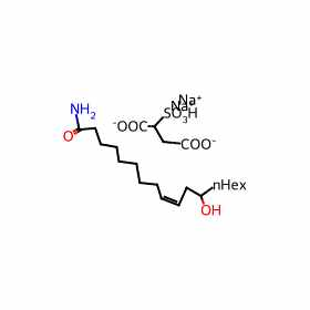 CCCCCCC(O)C/C=C\CCCCCCCC(N)=O.O=C([O-])CC(C(=O)[O-])S(=O)(=O)O.[Na+].[Na+]